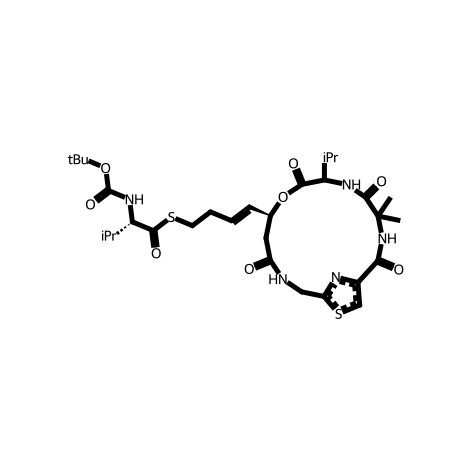 CC(C)C1NC(=O)C(C)(C)NC(=O)c2csc(n2)CNC(=O)C[C@@H](/C=C/CCSC(=O)[C@@H](NC(=O)OC(C)(C)C)C(C)C)OC1=O